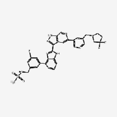 CS(=O)(=O)NCc1cc(F)cc(-c2cccc3[nH]c(-c4n[nH]c5cnc(-c6cncc(CN7CCC(F)(F)C7)c6)cc45)nc23)c1